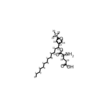 CCCCCCCCCCCCC(OC(=O)[C@@H](N)CCC(=O)O)c1coc([Si](C)(C)C)c1